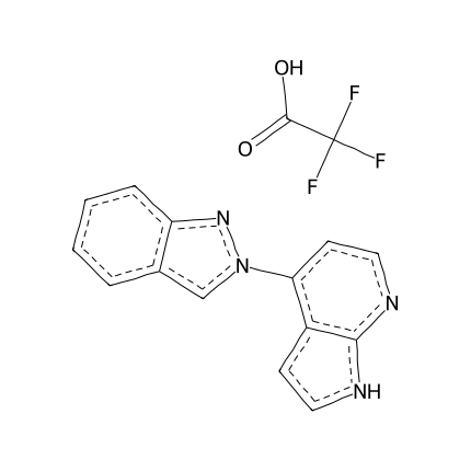 O=C(O)C(F)(F)F.c1ccc2nn(-c3ccnc4[nH]ccc34)cc2c1